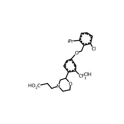 CC(C)c1cccc(Cl)c1COc1ccc(C2CN(CCC(=O)O)CCO2)c(C(F)(F)F)c1.Cl